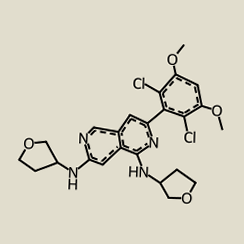 COc1cc(OC)c(Cl)c(-c2cc3cnc(NC4CCOC4)cc3c(NC3CCOC3)n2)c1Cl